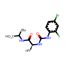 CCC[C@H](NC(=O)Nc1ccc(Br)cc1F)C(=O)NC(C(=O)O)C(C)(C)C